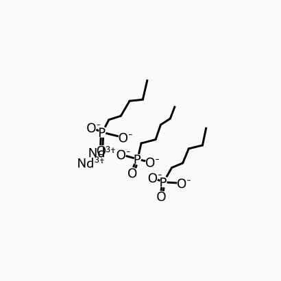 CCCCCP(=O)([O-])[O-].CCCCCP(=O)([O-])[O-].CCCCCP(=O)([O-])[O-].[Nd+3].[Nd+3]